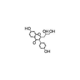 O=c1c(-c2ccc(O)cc2)c(CC(O)CO)oc2cc(O)ccc12